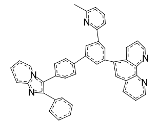 Cc1cccc(-c2cc(-c3ccc(-c4c(-c5ccccc5)nc5ccccn45)cc3)cc(-c3cc4cccnc4c4ncccc34)c2)n1